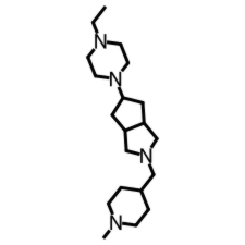 CCN1CCN(C2CC3CN(CC4CCN(C)CC4)CC3C2)CC1